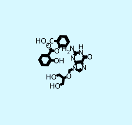 Nc1nc2c(ncn2COC(CO)CO)c(=O)[nH]1.O=C(Oc1ccccc1C(=O)O)c1ccccc1O